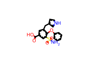 NS(=O)(=O)c1cc(C(=O)O)cc(Cc2cc[nH]c2)c1Oc1ccccc1